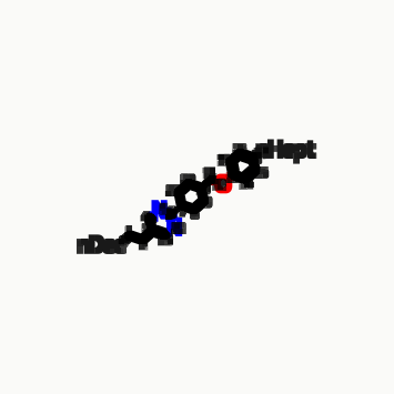 CCCCCCCCCCCCc1cnc([C@H]2CC[C@H](COc3ccc(CCCCCCC)cc3)CC2)nc1